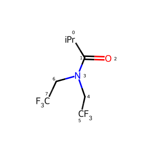 CC(C)C(=O)N(CC(F)(F)F)CC(F)(F)F